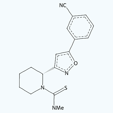 CNC(=S)N1CCCC[C@@H]1c1cc(-c2cccc(C#N)c2)on1